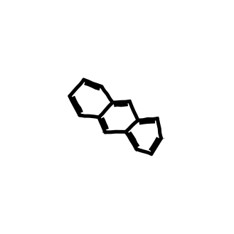 [c]1c[c]c2[c]c3ccccc3cc2c1